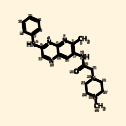 Cc1nc2nc(Nc3ccccc3)cnc2cc1NC(=O)CN1CCN(C)CC1